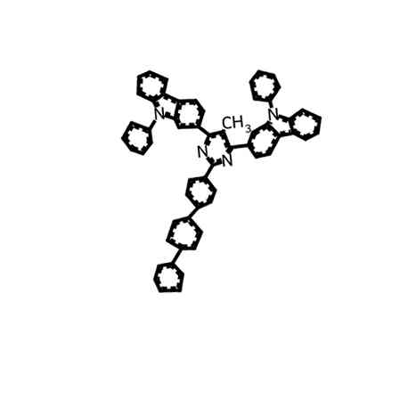 Cc1c(-c2ccc3c4ccccc4n(-c4ccccc4)c3c2)nc(-c2ccc(-c3ccc(-c4ccccc4)cc3)cc2)nc1-c1ccc2c3ccccc3n(-c3ccccc3)c2c1